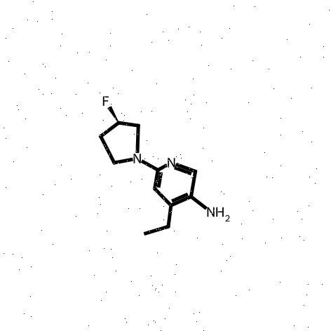 CCc1cc(N2CC[C@@H](F)C2)ncc1N